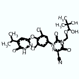 CC(C)c1cc(Oc2c(Cl)cc(-n3nc(C#N)c(=O)n(COC(O)C(C)(C)C)c3=O)cc2Cl)n[nH]c1=O